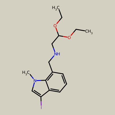 CCOC(CNCc1cccc2c(I)cn(C)c12)OCC